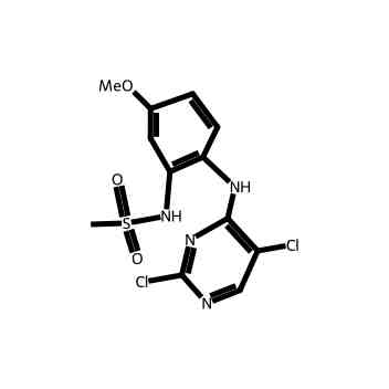 COc1ccc(Nc2nc(Cl)ncc2Cl)c(NS(C)(=O)=O)c1